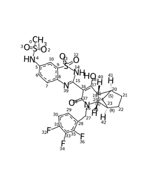 CS(=O)(=O)Nc1ccc2c(c1)S(=O)(=O)NC(C1=C(O)[C@@H]3[C@H]4CC[C@H](C4)[C@@H]3N(Cc3ccc(F)c(F)c3F)C1=O)=N2